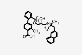 Cc1cc(-c2ccccc2[C@@H](C)OC[C@H](O)CNC(C)(C)Cc2ccc3ccccc3c2)ccc1C(=O)O